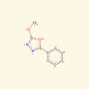 FC(F)(F)Oc1nnc(-c2ccccc2)o1